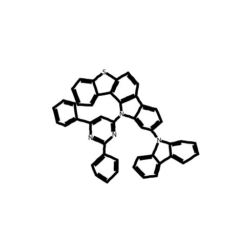 c1ccc(-c2cc(-n3c4cc(-n5c6ccccc6c6ccccc65)ccc4c4ccc5sc6ccccc6c5c43)nc(-c3ccccc3)n2)cc1